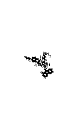 CCCOc1ccc(C[C@H](NC(=O)[C@H](CCCCN)NC(=O)OCC2C3=C(CCC=C3)c3cccc(I)c32)C(=O)OC)cc1